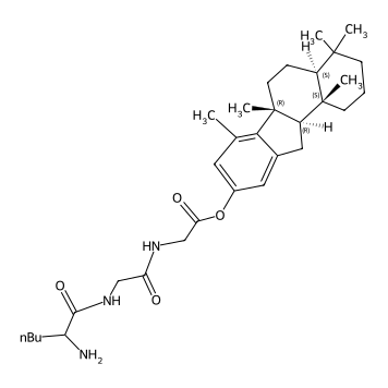 CCCCC(N)C(=O)NCC(=O)NCC(=O)Oc1cc(C)c2c(c1)C[C@@H]1[C@@]3(C)CCCC(C)(C)[C@@H]3CC[C@@]21C